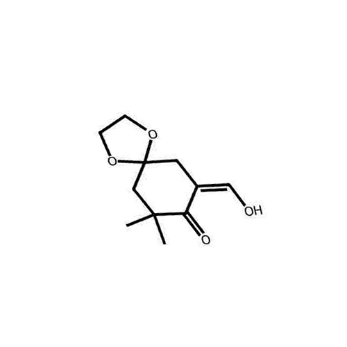 CC1(C)CC2(C/C(=C/O)C1=O)OCCO2